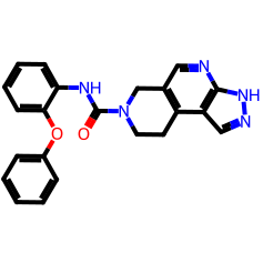 O=C(Nc1ccccc1Oc1ccccc1)N1CCc2c(cnc3[nH]ncc23)C1